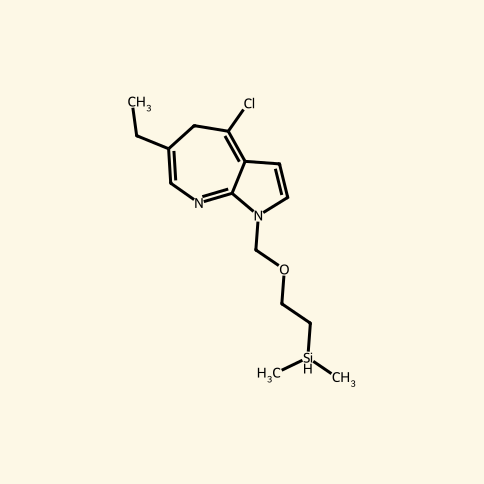 CCC1=CN=c2c(ccn2COCC[SiH](C)C)=C(Cl)C1